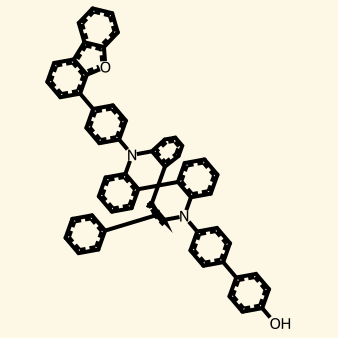 Oc1ccc(-c2ccc(N3c4ccccc4C4(c5ccccc5N(c5ccc(-c6cccc7c6oc6ccccc67)cc5)c5ccccc54)c4cc(-c5ccccc5)ccc43)cc2)cc1